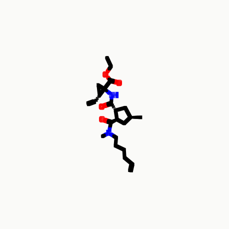 C=CCCCCN(C)C(=O)[C@@H]1C[C@H](C)C[C@H]1C(=O)N[C@]1(C(=O)OCC)C[C@H]1C=C